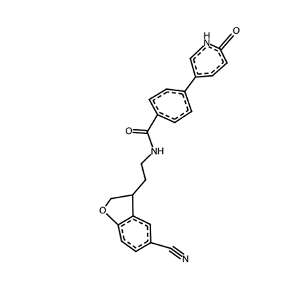 N#Cc1ccc2c(c1)C(CCNC(=O)c1ccc(-c3ccc(=O)[nH]c3)cc1)CO2